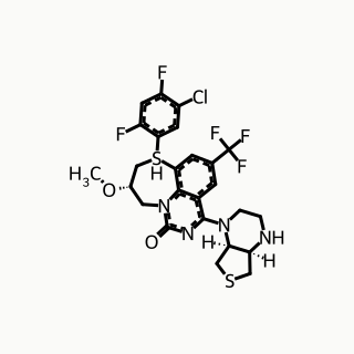 CO[C@H]1Cn2c(=O)nc(N3CCN[C@H]4CSC[C@H]43)c3cc(C(F)(F)F)cc(c32)[SH](c2cc(Cl)c(F)cc2F)C1